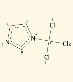 ClC(Cl)(Cl)n1ccnc1